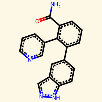 NC(=O)c1cccc(-c2ccc3[nH]ncc3c2)c1-c1cccnc1